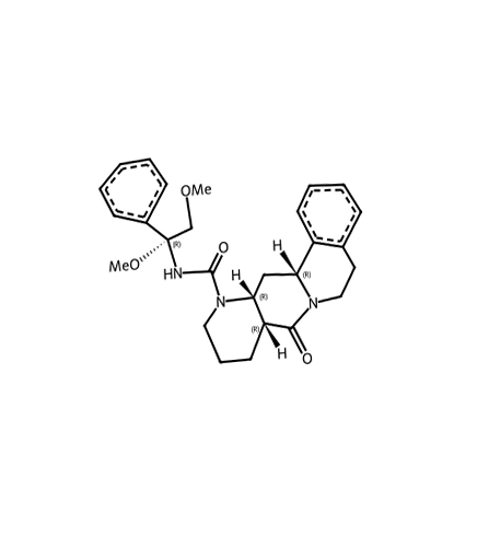 COC[C@](NC(=O)N1CCC[C@H]2C(=O)N3CCc4ccccc4[C@H]3C[C@H]21)(OC)c1ccccc1